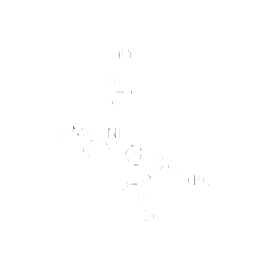 COC(=O)[C@H](Cc1ccc(OC(=O)OCC(C)(C)C)c(OC(=O)OCC(C)(C)C)c1)NCCOC(=O)OCCC(C)C